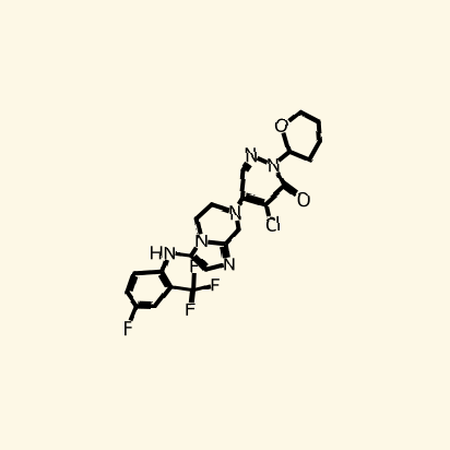 O=c1c(Cl)c(N2CCn3c(Nc4ccc(F)cc4C(F)(F)F)cnc3C2)cnn1C1CCCCO1